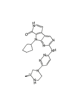 C[C@H]1CN(c2ccc(Nc3ncc4c5cc[nH]c(=O)c5n(C5CCCC5)c4n3)nn2)CCN1